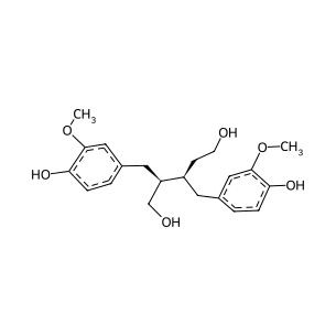 COc1cc(C[C@H](CO)[C@@H](CCO)Cc2ccc(O)c(OC)c2)ccc1O